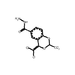 NNC(=O)c1ccc2c(c1)C(=C(Cl)Cl)OC(C(Cl)(Cl)Cl)O2